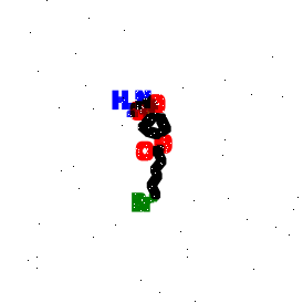 NS(=O)(=O)c1ccc(OC(=O)CCCCCBr)cc1